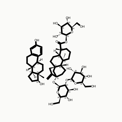 C=C1C[C@@]23CC[C@H]4[C@@](C)(CCC[C@@]4(C)C(=O)O[C@@H]4O[C@H](CO)[C@@H](O)[C@H](O)[C@H]4O)[C@@H]2CC[C@]1(O[C@@H]1O[C@H](CO)[C@@H](O)[C@H](O)[C@H]1O[C@@H]1O[C@H](CO)[C@@H](O)[C@H](O)[C@H]1O)C3.C[C@]12CC[C@@H]3c4ccc(O)cc4CC[C@H]3[C@@H]1CC[C@@H]2O